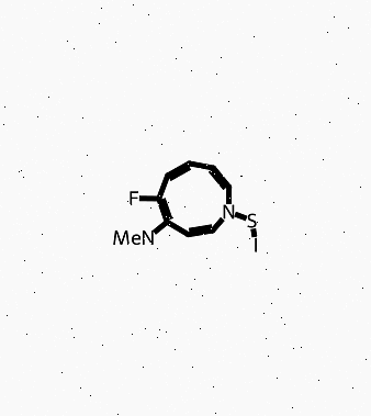 CNc1ccn(SI)ccccc1F